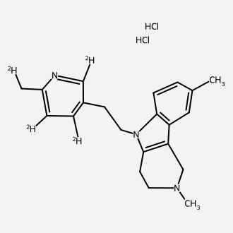 Cl.Cl.[2H]Cc1nc([2H])c(CCn2c3c(c4cc(C)ccc42)CN(C)CC3)c([2H])c1[2H]